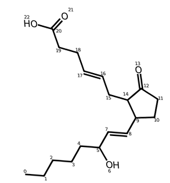 CCCCCC(O)/C=C/C1CCC(=O)C1C/C=C/CCC(=O)O